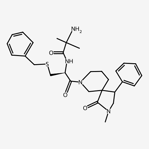 CN1CC(c2ccccc2)C2(CCCN(C(=O)[C@@H](CSCc3ccccc3)NC(=O)C(C)(C)N)C2)C1=O